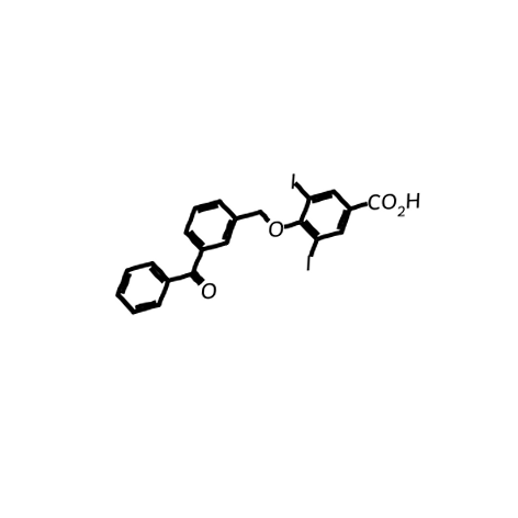 O=C(O)c1cc(I)c(OCc2cccc(C(=O)c3ccccc3)c2)c(I)c1